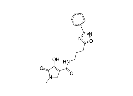 CN1CC(C(=O)NCCCc2nc(-c3ccccc3)no2)=C(O)C1=O